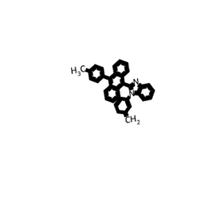 C=C1C=C(n2c(-c3c4ccccc4c(-c4ccc(C)cc4)c4ccccc34)nc3ccccc32)C=CC1